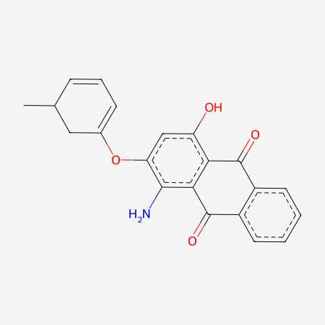 CC1C=CC=C(Oc2cc(O)c3c(c2N)C(=O)c2ccccc2C3=O)C1